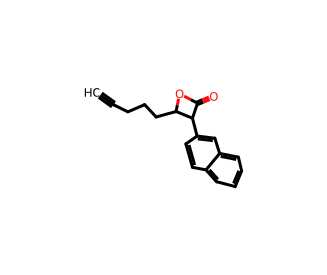 C#CCCCC1OC(=O)C1c1ccc2ccccc2c1